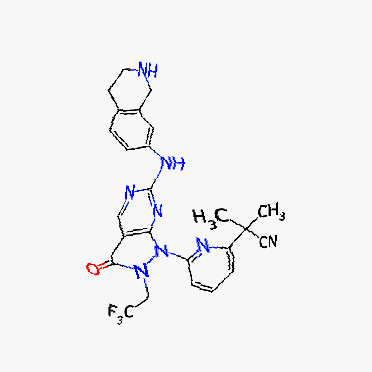 CC(C)(C#N)c1cccc(-n2c3nc(Nc4ccc5c(c4)CNCC5)ncc3c(=O)n2CC(F)(F)F)n1